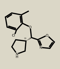 Cc1cccc(Cl)c1OC(c1ncco1)[C@H]1CCNC1